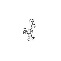 CN(C)c1cc2c(cc1Cl)NC(=O)CC(c1cccc(-n3cccn3)c1)=N2